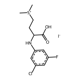 C[S+](C)CCC(Nc1cc(F)cc(Cl)c1)C(=O)O.[I-]